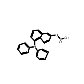 OBOc1ccc2c(N(c3ccccc3)c3ccccc3)cccc2c1